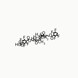 CC(C)(N=NC(C)(C)C(=O)NCCOC(=O)c1c(F)c(F)c(S(=O)(=O)O)c(F)c1F)C(=O)NCCOC(=O)c1c(F)c(F)cc(F)c1F